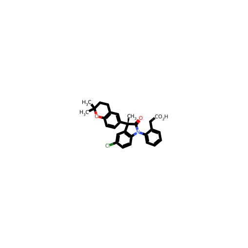 CC1(C)CCc2cc([C@]3(C)C(=O)N(c4ccccc4CC(=O)O)c4ccc(Cl)cc43)ccc2O1